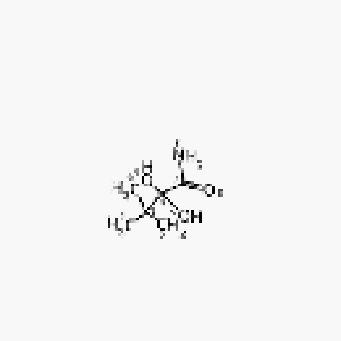 CC(C)(C)C(O)(O)C(N)=O